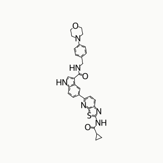 O=C(NCc1ccc(N2CCOCC2)cc1)c1c[nH]c2ccc(-c3ccc4nc(NC(=O)C5CC5)sc4n3)cc12